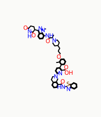 Cc1c(OCCCC2CCN(C(C)C(=O)Nc3cccc4c(C5CCC(=O)NC5=O)nn(C)c34)CC2)cccc1-c1ccc(N2CCc3cccc(C(=O)Nc4nc5ccccc5s4)c3C2)nc1C(=O)O